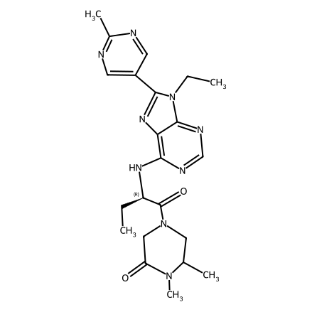 CC[C@@H](Nc1ncnc2c1nc(-c1cnc(C)nc1)n2CC)C(=O)N1CC(=O)N(C)C(C)C1